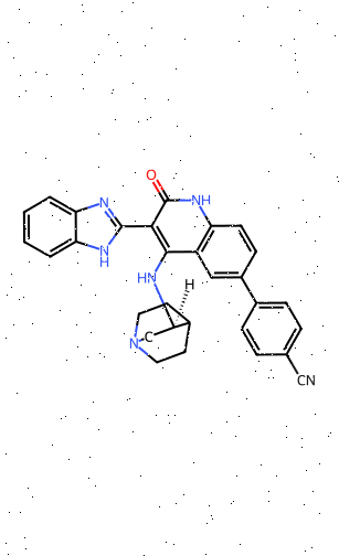 N#Cc1ccc(-c2ccc3[nH]c(=O)c(-c4nc5ccccc5[nH]4)c(N[C@@H]4CN5CCC4CC5)c3c2)cc1